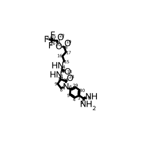 N=C(N)c1ccc(N2CCC(NC(=O)NCCCC(=O)OC(=O)C(F)(F)F)C2=O)cc1